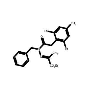 CCOC(=O)C(C)=NN(Cc1ccccc1)C(=O)Cc1c(CC)cc(C)cc1CC